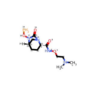 CN(C)CCONC(=O)[C@@H]1CC[C@H]2CN1C(=O)N2OP